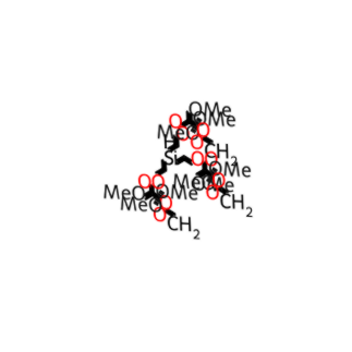 C=CC(=O)OC(OC)(OC)C(=COC)C(=O)OCCC[SiH](CCCOC(=O)C(=COC)C(OC)(OC)OC(=O)C=C)CCCOC(=O)C(=COC)C(OC)(OC)OC(=O)C=C